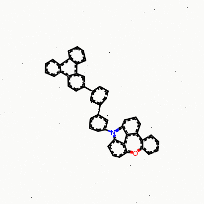 c1cc(-c2cccc(-n3c4cccc5oc6ccccc6c6cccc3c6c54)c2)cc(-c2ccc3c4ccccc4c4ccccc4c3c2)c1